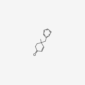 CC1(Cc2ccccc2)C=CC(=O)CC1